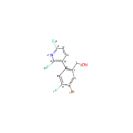 OCc1cc(Br)c(F)cc1-c1ccc(F)nc1F